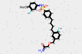 COc1ccc(NS(=O)(=O)c2ccc(CCCCc3cc(COCC(N)=O)ccc3F)cc2)cc1F